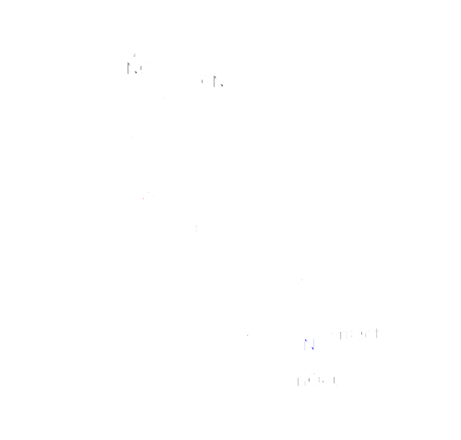 CCCCCCCCN(CCCCCCCC)c1ccc(/C=C/C2=CC(=C(C#N)C#N)C=C(C)O2)cc1